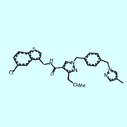 COCc1nn(Cc2ccc(Cn3cc(C)cn3)cc2)cc1C(=O)NCc1csc2ccc(Cl)cc12